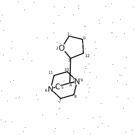 C1COC([C]2CN3CCN2CC3)C1